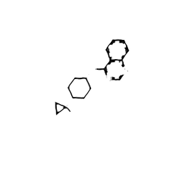 CC1([C@H]2CC[C@@H](Oc3ncnc4ccccc34)CC2)CC1